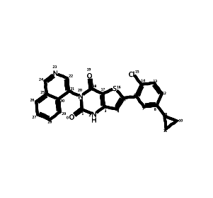 O=c1[nH]c2cc(-c3cc(C4CC4)ccc3Cl)sc2c(=O)n1-c1cncc2ccccc12